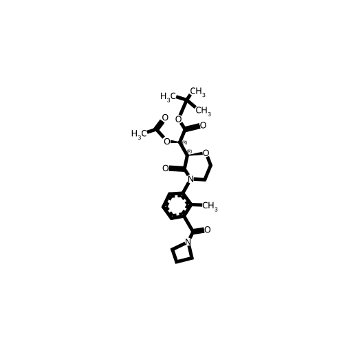 CC(=O)O[C@@H](C(=O)OC(C)(C)C)[C@H]1OCCN(c2cccc(C(=O)N3CCC3)c2C)C1=O